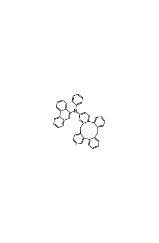 c1ccc(N(c2ccc3c(c2)Cc2ccccc2-c2ccccc2Cc2ccccc2-3)c2cc3ccccc3c3ccccc23)cc1